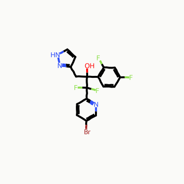 OC(Cc1cc[nH]n1)(c1ccc(F)cc1F)C(F)(F)c1ccc(Br)cn1